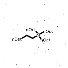 [CH2]CCCCCCCCCCC[Si](CCCCCCCC)(CCCCCCCC)CCCCCCCC